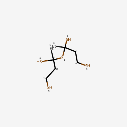 CCC(S)(CCS)SC(S)(CC)CCS